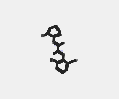 CC(=N\c1ccccc1C(C)C)/C(C)=N/c1c(C(C)C)cccc1C(C)C